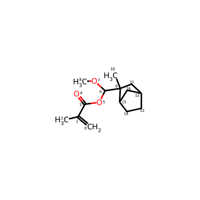 C=C(C)C(=O)OC(OC)C1(C)CC2CCC1C2